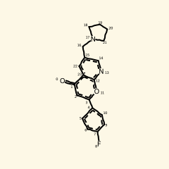 O=c1cc(-c2ccc(F)cc2)oc2ncc(CN3CCCC3)cc12